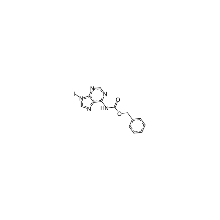 O=C(Nc1ncnc2c1ncn2I)OCc1ccccc1